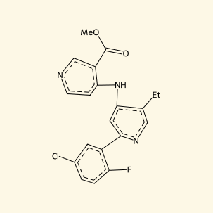 CCc1cnc(-c2cc(Cl)ccc2F)cc1Nc1ccncc1C(=O)OC